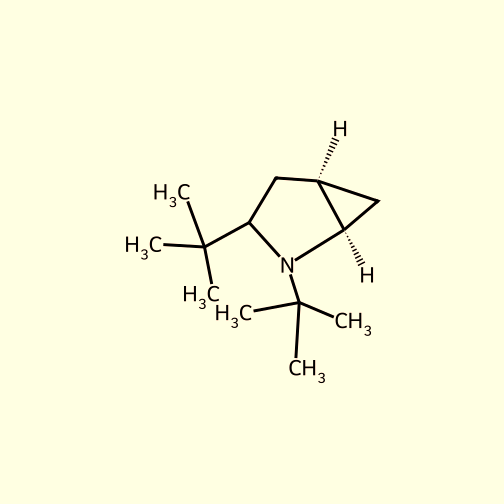 CC(C)(C)C1C[C@H]2C[C@H]2N1C(C)(C)C